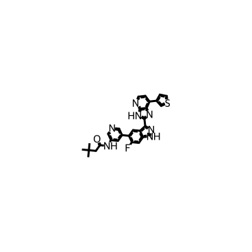 CC(C)(C)CC(=O)Nc1cncc(-c2cc3c(-c4nc5c(-c6ccsc6)ccnc5[nH]4)n[nH]c3cc2F)c1